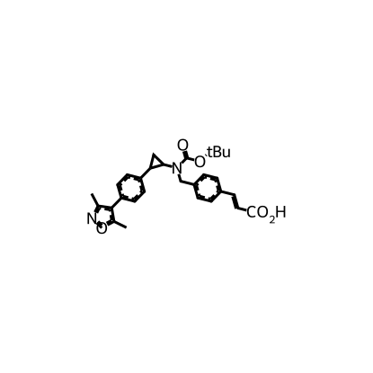 Cc1noc(C)c1-c1ccc(C2CC2N(Cc2ccc(/C=C/C(=O)O)cc2)C(=O)OC(C)(C)C)cc1